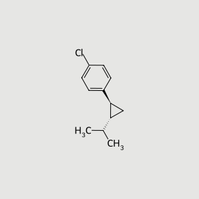 CC(C)[C@H]1C[C@@H]1c1ccc(Cl)cc1